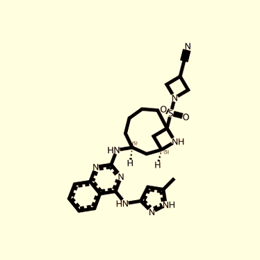 Cc1cc(Nc2nc(N[C@H]3CCCCC4(S(=O)(=O)N5CC(C#N)C5)C[C@H](C3)N4)nc3ccccc23)n[nH]1